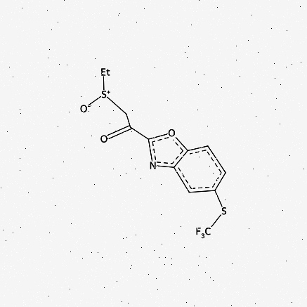 CC[S+]([O-])CC(=O)c1nc2cc(SC(F)(F)F)ccc2o1